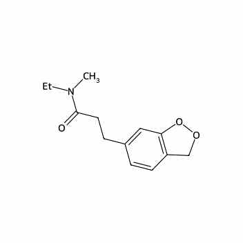 CCN(C)C(=O)CCc1ccc2c(c1)OOC2